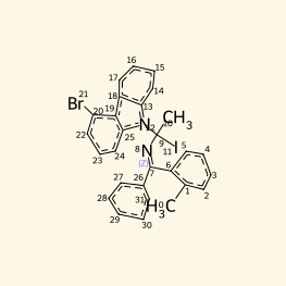 Cc1ccccc1/C(=N\C(C)(I)n1c2ccccc2c2c(Br)cccc21)c1ccccc1